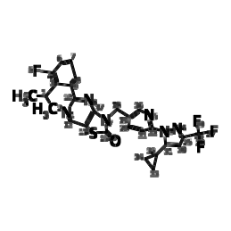 CC(C)c1c(F)cccc1-c1ncc2sc(=O)n(Cc3ccc(-n4nc(C(F)(F)F)cc4C4CC4)nc3)c2n1